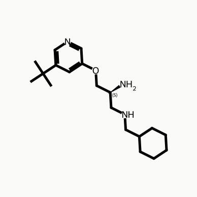 CC(C)(C)c1cncc(OC[C@@H](N)CNCC2CCCCC2)c1